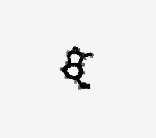 CB1OCc2ccc(C(C)(C)C)cc21